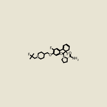 CC(C)(F)CN1CCC(COc2ccc(C3=CC=CCC3(F)C(=O)N3CCC[C@H]3C(N)=O)cc2F)CC1